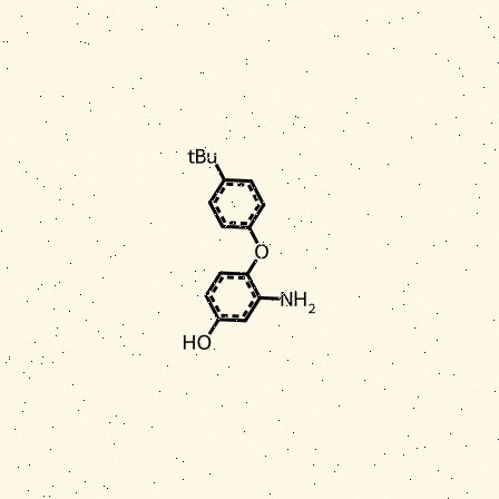 CC(C)(C)c1ccc(Oc2ccc(O)cc2N)cc1